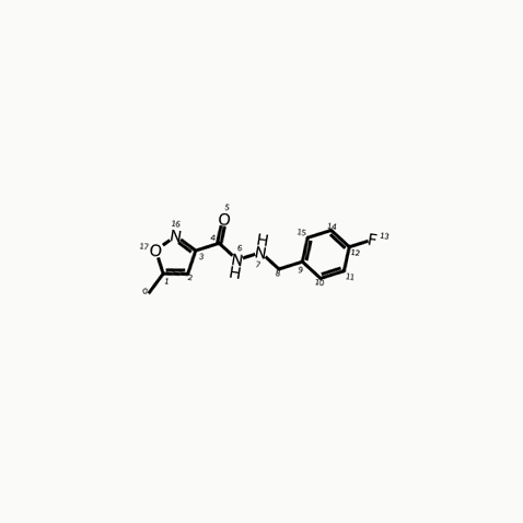 Cc1cc(C(=O)NNCc2ccc(F)cc2)no1